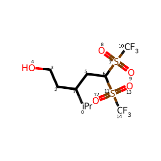 CC(C)C(CCO)CC(S(=O)(=O)C(F)(F)F)S(=O)(=O)C(F)(F)F